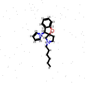 CCCCCCN1CCC2(C1)Oc1ccccc1C2n1cccc1